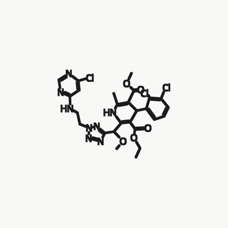 CCOC(=O)C1=C(C(OC)c2nnn(CCNc3cc(Cl)ncn3)n2)NC(C)=C(C(=O)OC)C1c1cccc(Cl)c1Cl